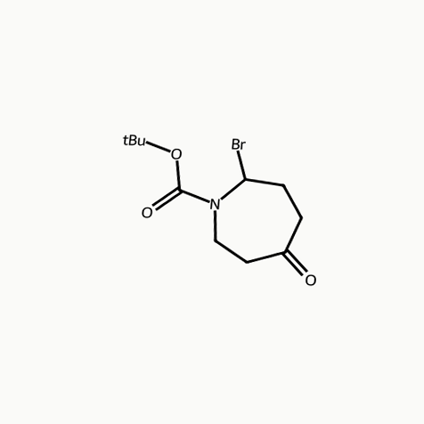 CC(C)(C)OC(=O)N1CCC(=O)CCC1Br